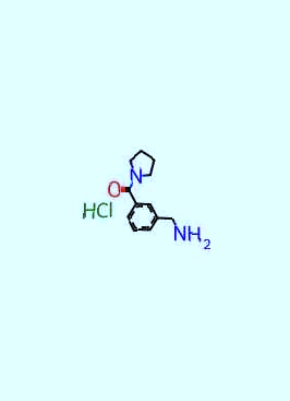 Cl.NCc1cccc(C(=O)N2CCCC2)c1